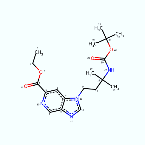 CCOC(=O)c1cc2c(cn1)ncn2CCC(C)(C)NC(=O)OC(C)(C)C